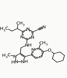 CCC(C)c1nc(C#N)nc(NCC2=C(c3ccc(OC4CCCCC4)c(C)n3)NNN2C)n1